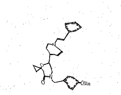 COc1ccc(CN2CC(C3CCN(CCc4ccccc4)CC3)OC3(CC3)C2=O)cc1